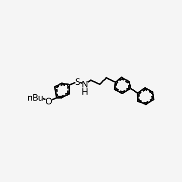 CCCCOc1ccc(SNCCCc2ccc(-c3ccccc3)cc2)cc1